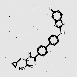 O=C(N[C@@H](CC1CC1)C(=O)O)c1ccc(-c2ccc(Nc3nc4ccc(F)cc4s3)cc2)cc1